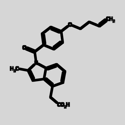 C=CCCOc1ccc(C(=O)n2c(C)cc3c(CC(=O)O)cccc32)cc1